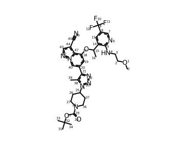 COCCNc1ncc(C(F)(F)F)cc1C(C)Oc1cc(-c2nnn(C3CCN(C(=O)OC(C)(C)C)CC3)c2C)cn2ncc(C#N)c12